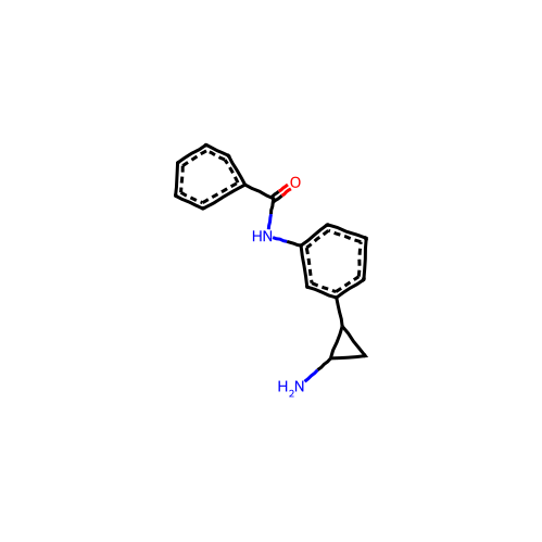 NC1CC1c1cccc(NC(=O)c2ccccc2)c1